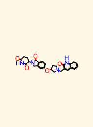 O=C1CCC(N2Cc3cc(O[C@H]4CCN(Cc5cc6ccccc6[nH]c5=O)C4)ccc3C2=O)C(=O)N1